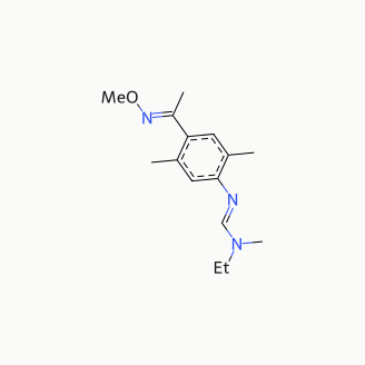 CCN(C)C=Nc1cc(C)c(C(C)=NOC)cc1C